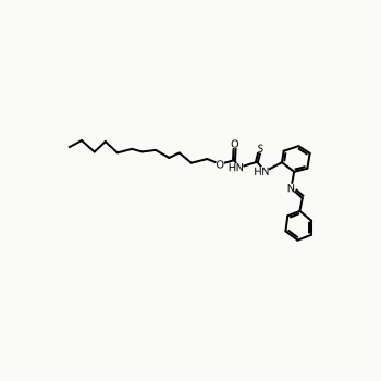 CCCCCCCCCCCCOC(=O)NC(=S)Nc1ccccc1N=Cc1ccccc1